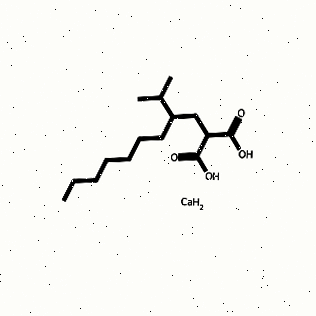 CCCCCCCC(CC(C(=O)O)C(=O)O)C(C)C.[CaH2]